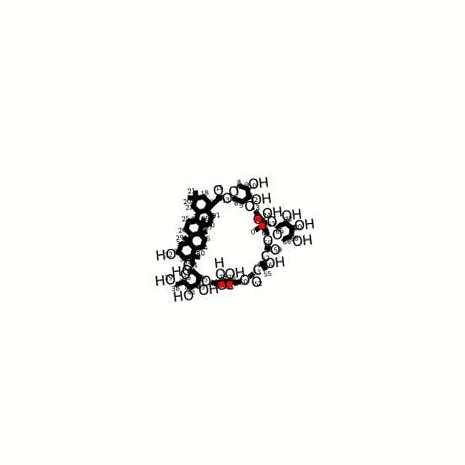 CC1OC2OC3C(OCC(O)C3O)OC(=O)C34CCC(C)(C)CC3C3=CCC5C6(C)CC(O)C(OC7OC(CO)C(O)C(O)C7OC7OCC(OC(=O)CC(C)(O)CC(=O)OC1C(OC1OCC(O)C(O)C1O)C2O)C(O)C7O)C(C)(CO)C6CCC5(C)C3(C)CC4